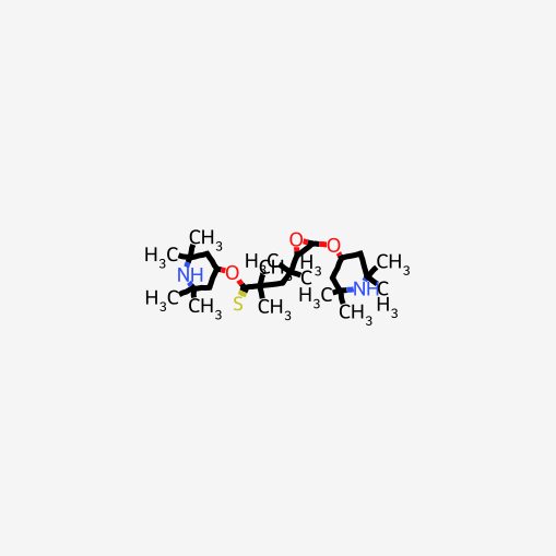 CC1(C)CC(OC(=S)C(C)(C)CC(C)(C)C2OC2OC2CC(C)(C)NC(C)(C)C2)CC(C)(C)N1